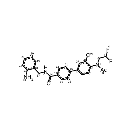 CC(=O)N(CC(F)F)c1ccc(-c2ccc(C(=O)NCc3cnccc3N)cn2)cc1Cl